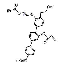 C=CC(=O)Oc1cc(-c2ccc(CCCCC)cc2)ccc1-c1ccc(CCO)c(O/C=C/OC(=O)C(C)C)c1